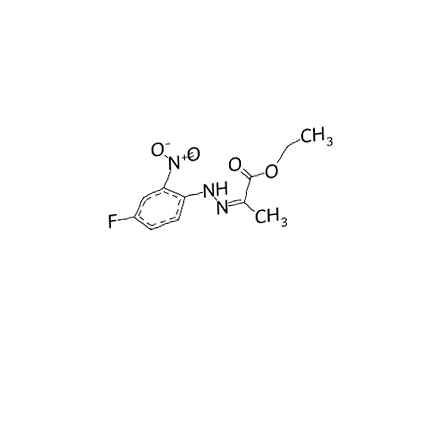 CCOC(=O)C(C)=NNc1ccc(F)cc1[N+](=O)[O-]